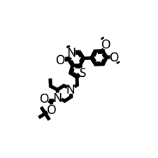 CCC1CN(Cc2cc3c(=O)n(C)cc(-c4ccc(OC)c(OC)c4)c3s2)CCN1C(=O)OC(C)(C)C